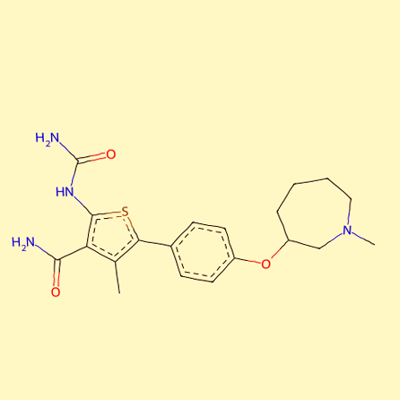 Cc1c(-c2ccc(OC3CCCCN(C)C3)cc2)sc(NC(N)=O)c1C(N)=O